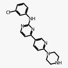 Clc1cccc(Nc2nccc(-c3ccc(N4CCNCC4)nc3)n2)c1